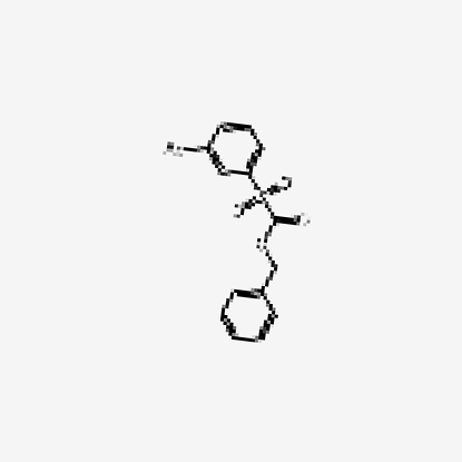 CC(=O)c1cccc(S(=O)(=O)C(=O)OCc2ccccc2)c1